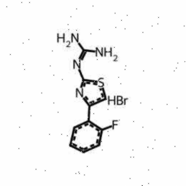 Br.NC(N)=Nc1nc(-c2ccccc2F)cs1